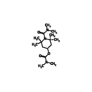 CN(C)C(=O)OC1CC(C)(C)N(C(=O)N(C)C)C(C)(C)C1